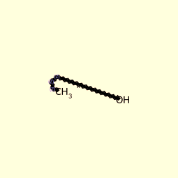 CC/C=C\C/C=C\C/C=C\CCCCCCCC[C]CCCCCCCCCCCCCCCC[CH]O